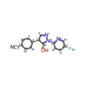 N#Cc1ccc(-c2cnn(-c3ccc(F)cn3)c2O)cc1